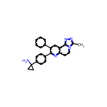 Cc1nnc2c3cc(-c4ccccc4)c(-c4ccc(C5(N)CC5)cc4)nc3ccn12